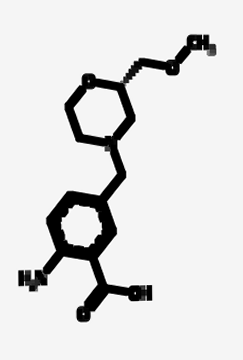 COC[C@@H]1CN(Cc2ccc(N)c(C(=O)O)c2)CCO1